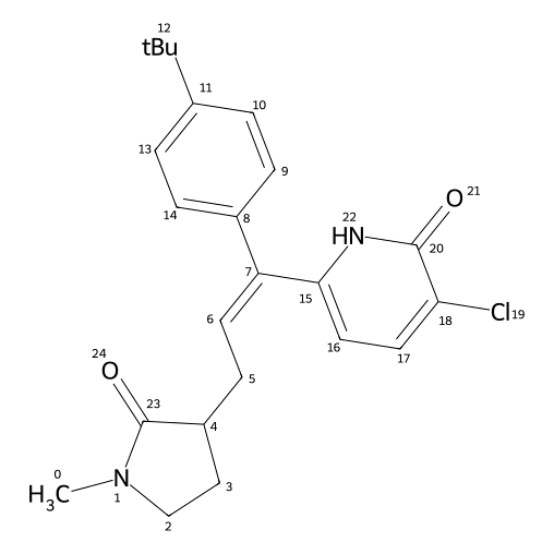 CN1CCC(CC=C(c2ccc(C(C)(C)C)cc2)c2ccc(Cl)c(=O)[nH]2)C1=O